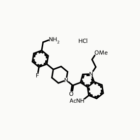 COCCn1cc(C(=O)N2CCC(c3cc(CN)ccc3F)CC2)c2c(NC(C)=O)cccc21.Cl